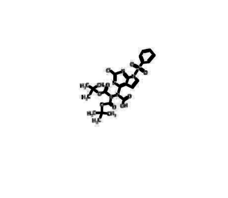 CC(C)(C)OC(=O)N(C(=O)OC(C)(C)C)N(C(=O)O)c1nc(Cl)nc2c1ccn2S(=O)(=O)c1ccccc1